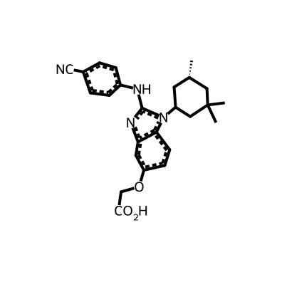 C[C@H]1CC(n2c(Nc3ccc(C#N)cc3)nc3cc(OCC(=O)O)ccc32)CC(C)(C)C1